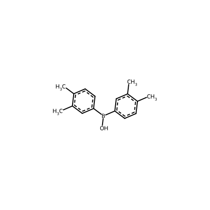 Cc1ccc(B(O)c2ccc(C)c(C)c2)cc1C